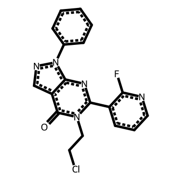 O=c1c2cnn(-c3ccccc3)c2nc(-c2cccnc2F)n1CCCl